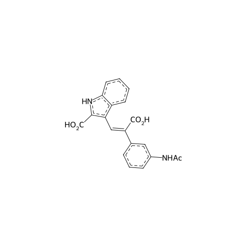 CC(=O)Nc1cccc(C(=Cc2c(C(=O)O)[nH]c3ccccc23)C(=O)O)c1